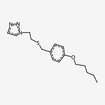 CCCCCOc1ccc(CSCCn2ccnn2)cc1